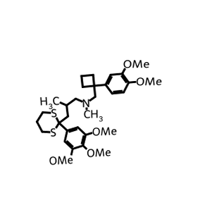 COc1ccc(C2(CN(C)CC(C)CC3(c4cc(OC)c(OC)c(OC)c4)SCCCS3)CCC2)cc1OC